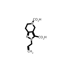 C=CCn1nc2c(c1C(=O)O)CN(C(=O)O)CC2